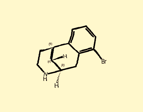 Brc1cccc2c1C[C@H]1NCC[C@@]23CCCC[C@@H]13